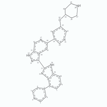 c1cc(-c2ccncc2)c2nc(-c3n[nH]c4cnc(-c5cncc(OC6CCNCC6)c5)cc34)[nH]c2c1